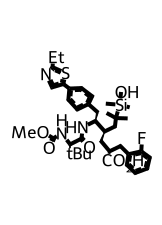 CCc1ncc(-c2ccc(C[C@H](NC(=O)[C@@H](NC(=O)OC)C(C)(C)C)[C@H](C[C@@H](Cc3ccccc3F)C(=O)O)CC(C)(C)[Si](C)(C)O)cc2)s1